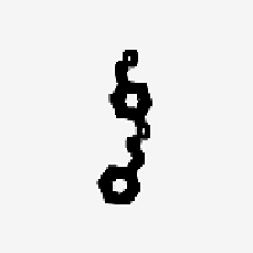 O=Cc1ccc(OOCc2ccccc2)cc1